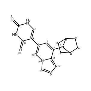 O=c1[nH]cc(-c2cc(N3C4CCC3CC4)c3nccn3n2)c(=O)[nH]1